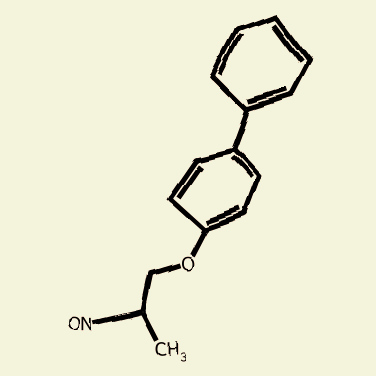 CC(COc1ccc(-c2ccccc2)cc1)N=O